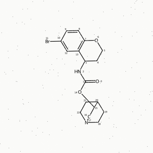 O=C(NC1CCOc2ccc(Br)cc21)OC1CN2CCC1CC2